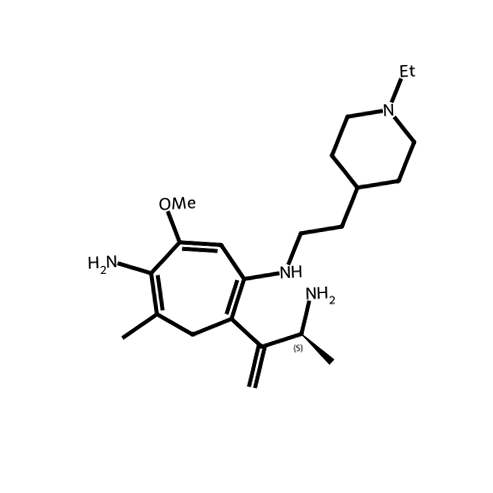 C=C(C1=C(NCCC2CCN(CC)CC2)C=C(OC)C(N)=C(C)C1)[C@H](C)N